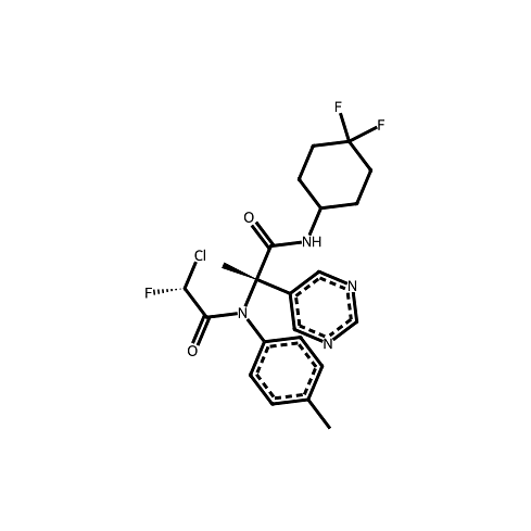 Cc1ccc(N(C(=O)[C@H](F)Cl)[C@](C)(C(=O)NC2CCC(F)(F)CC2)c2cncnc2)cc1